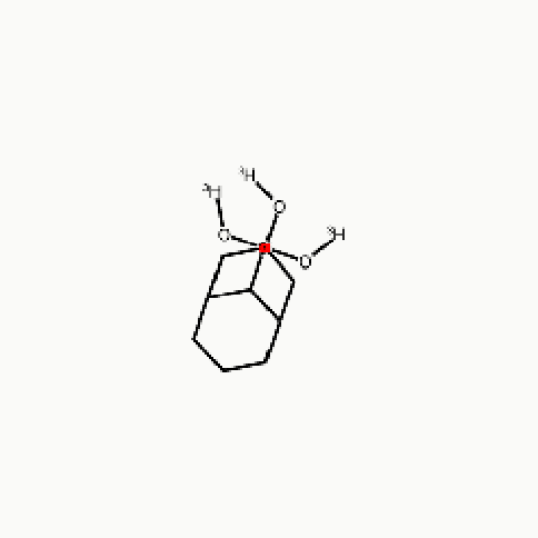 [3H]O[Si](O[3H])(O[3H])C1C2CCCC1CCC2